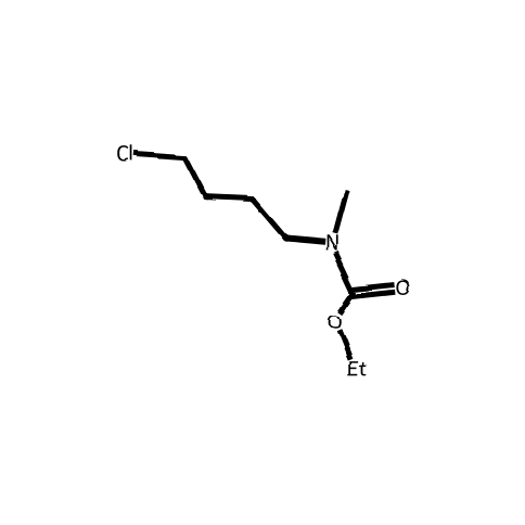 CCOC(=O)N(C)CCCCCl